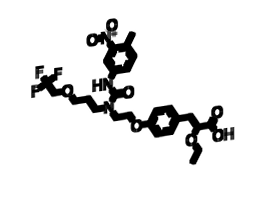 CCOC(Cc1ccc(OCCN(CCCOCC(F)(F)F)C(=O)Nc2ccc(C)c([N+](=O)[O-])c2)cc1)C(=O)O